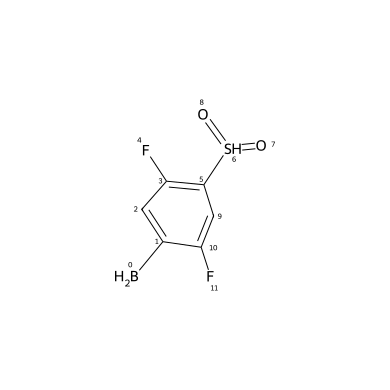 Bc1cc(F)c([SH](=O)=O)cc1F